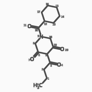 CCCC(=O)C1C(=O)CN(C(=O)C2CCCCC2)CC1=O